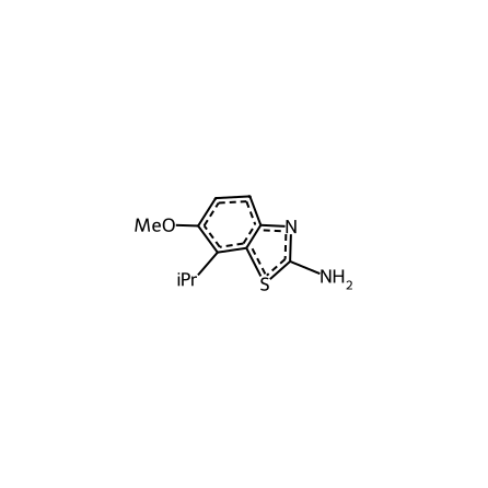 COc1ccc2nc(N)sc2c1C(C)C